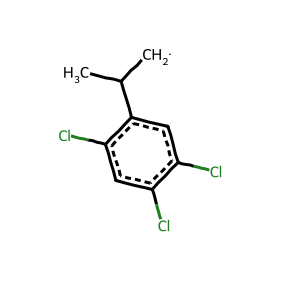 [CH2]C(C)c1cc(Cl)c(Cl)cc1Cl